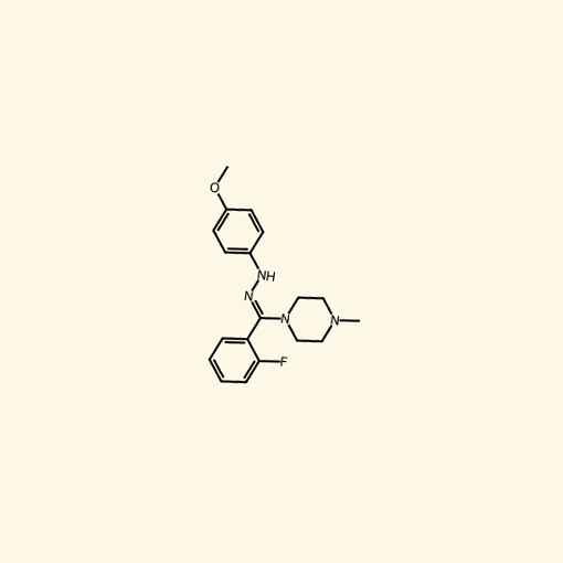 COc1ccc(NN=C(c2ccccc2F)N2CCN(C)CC2)cc1